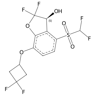 O=S(=O)(c1ccc(OC2CC(F)(F)C2)c2c1[C@H](O)C(F)(F)O2)C(F)F